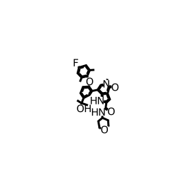 Cc1cc(F)cc(C)c1Oc1ccc(C(C)(C)O)cc1-c1cn(C)c(=O)c2cc(C(=O)NC3CCOCC3)[nH]c12